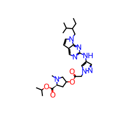 CCC(Cn1ccc2cnc(Nc3cnn(CC(=O)OC4C[C@@H](C(=O)OC(C)C)N(C)C4)c3)nc21)C(C)C